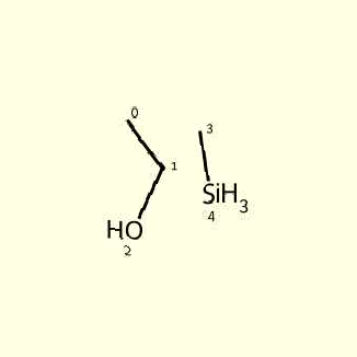 CCO.C[SiH3]